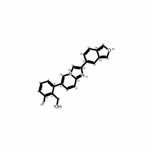 OCc1c(F)cccc1-c1ccc2nc(-c3ccc4cocc4c3)cn2c1